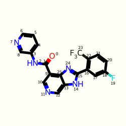 O=C(Nc1cccnc1)c1cncc2[nH]c(-c3cc(F)ccc3C(F)(F)F)nc12